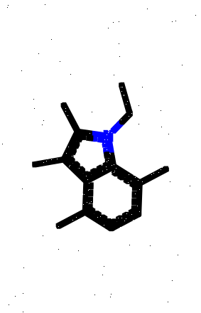 CCn1c(C)c(C)c2c(C)ccc(C)c21